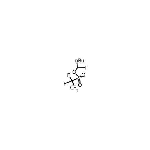 CCCCC(I)OS(=O)(=O)C(F)(F)C(F)(F)F